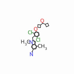 Cc1cc(C#N)cc2c1cc(Cc1c(Cl)ccc(OC3CC(C(=O)C4CCC4)C3)c1Cl)n2C